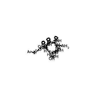 CC(=O)CCC(C)(C)SSCCOC(=O)N[C@H](Cc1ccccc1)C(=O)N[C@H]1CSSC[C@@H](C(=O)N[C@H](CO)[C@@H](C)O)NC(=O)C([C@@H](C)O)NC(=O)[C@H](CCCCN)NC(=O)[C@@H](Cc2c[nH]c3ccccc23)NC(=O)[C@H](Cc2ccccc2)NC1=O